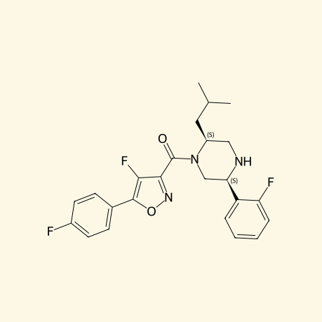 CC(C)C[C@H]1CN[C@@H](c2ccccc2F)CN1C(=O)c1noc(-c2ccc(F)cc2)c1F